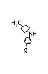 C[C@H]1CC[C@H](Nc2ccc(C#N)cc2)CC1